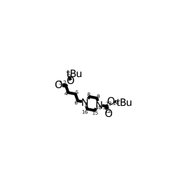 CC(C)(C)OC(=O)CCCN1CCN(C(=O)OC(C)(C)C)CC1